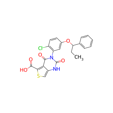 CCC(Oc1ccc(Cl)c(-n2c(=O)[nH]c3csc(C(=O)O)c3c2=O)c1)c1ccccc1